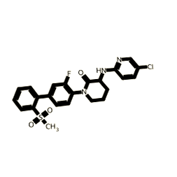 CS(=O)(=O)c1ccccc1-c1ccc(N2CCCC(Nc3ccc(Cl)cn3)C2=O)c(F)c1